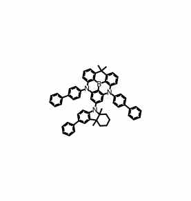 CC1(C)c2cccc3c2B2c4c(cc(N5c6ccc(-c7ccccc7)cc6C6(C)CCCCC56C)cc4N(c4ccc(-c5ccccc5)cc4)c4cccc1c42)N3c1ccc(-c2ccccc2)cc1